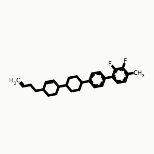 C=CCCC1C=CC(C2CCC(c3ccc(-c4ccc(C)c(F)c4F)cc3)CC2)CC1